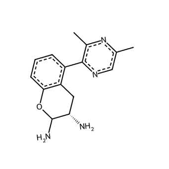 Cc1cnc(-c2cccc3c2C[C@H](N)C(N)O3)c(C)n1